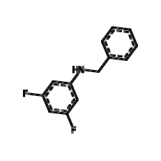 Fc1cc(F)cc(NCc2ccccc2)c1